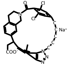 Cc1c2ccc3c1nnn3CCCCCc1cc(Cl)c(c(Cl)c1)C(=O)N1CCc3ccc(cc3C1)C2CC(=O)[O-].[Na+]